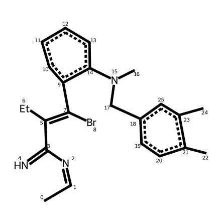 C/C=N\C(=N)/C(CC)=C(\Br)c1ccccc1N(C)Cc1ccc(C)c(C)c1